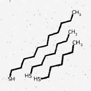 CCCCCCCCCCCS.CCCCCCCS.CCCCCCS